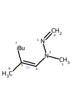 C=NN(C)/C=C(/C)C(C)CC